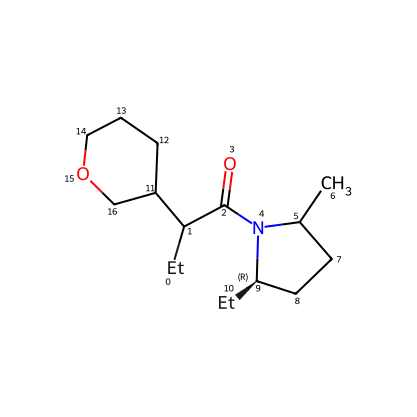 CCC(C(=O)N1C(C)CC[C@H]1CC)C1CCCOC1